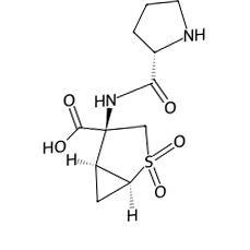 O=C(N[C@@]1(C(=O)O)CS(=O)(=O)[C@H]2C[C@H]21)[C@@H]1CCCN1